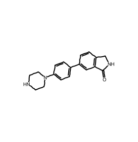 O=C1NCc2ccc(-c3ccc(N4CCNCC4)cc3)cc21